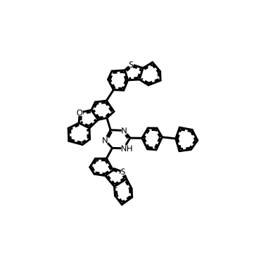 c1ccc(-c2ccc(C3=NC(c4cc(-c5ccc6sc7ccccc7c6c5)cc5oc6ccccc6c45)=NC(c4cccc5c4sc4ccccc45)N3)cc2)cc1